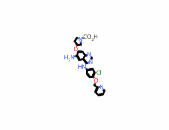 Nc1cc2c(Nc3ccc(OCc4ccccn4)c(Cl)c3)ncnc2cc1O[C@H]1CCN(C(=O)O)C1